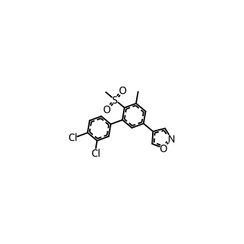 Cc1cc(-c2cnoc2)cc(-c2ccc(Cl)c(Cl)c2)c1S(C)(=O)=O